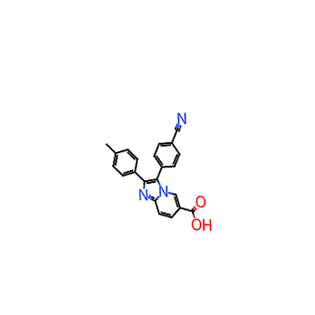 Cc1ccc(-c2nc3ccc(C(=O)O)cn3c2-c2ccc(C#N)cc2)cc1